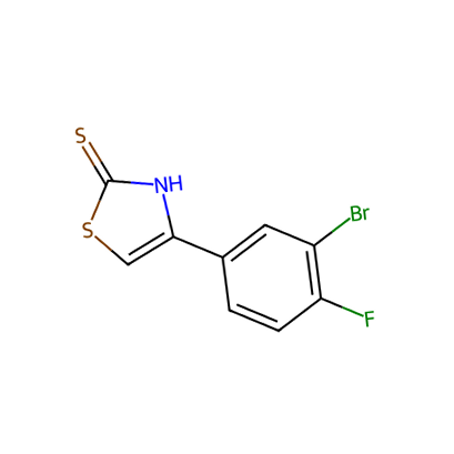 Fc1ccc(-c2csc(=S)[nH]2)cc1Br